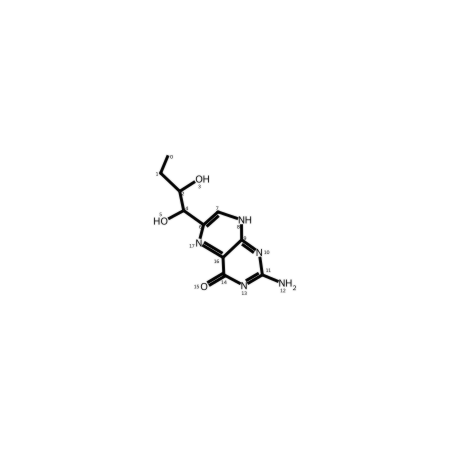 CCC(O)C(O)c1c[nH]c2nc(N)nc(=O)c-2n1